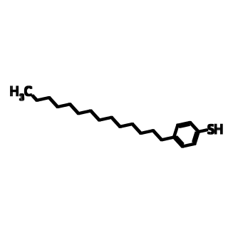 CCCCCCCCCCCCCCc1ccc(S)cc1